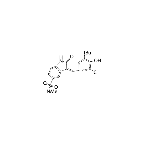 CNS(=O)(=O)c1ccc2c(c1)C(=Cc1cc(Cl)c(O)c(C(C)(C)C)c1)C(=O)N2